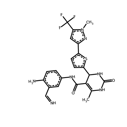 CC1=C(C(=O)Nc2ccc(N)c(C=N)c2)C(c2ccc(-c3cc(C(F)(F)F)n(C)n3)s2)NC(=O)N1